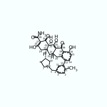 Cc1ccc(CN2CCCC2)cc1-c1ccc(O)c2c1C[C@H]1C[C@H]3CC(O)=C(C(N)=O)C(=O)[C@@]3(O)C(O)=C1C2=O